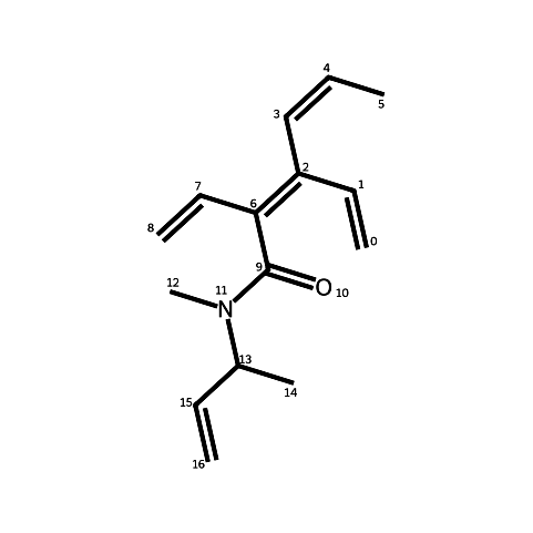 C=CC(/C=C\C)=C(/C=C)C(=O)N(C)C(C)C=C